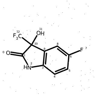 O=C1Nc2ccc(F)cc2C1(O)C(F)(F)F